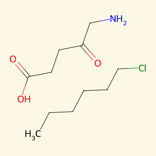 CCCCCCCl.NCC(=O)CCC(=O)O